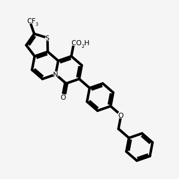 O=C(O)c1cc(-c2ccc(OCc3ccccc3)cc2)c(=O)n2ccc3cc(C(F)(F)F)sc3c12